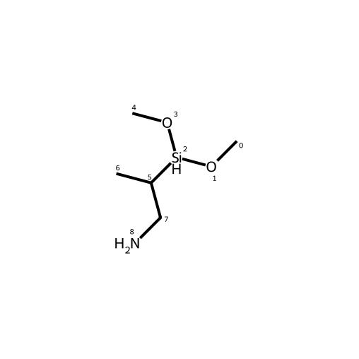 CO[SiH](OC)C(C)CN